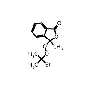 CCC(C)(C)OOC1(C)OC(=O)c2ccccc21